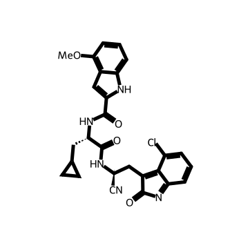 COc1cccc2[nH]c(C(=O)N[C@@H](CC3CC3)C(=O)N[C@H](C#N)CC3=c4c(Cl)cccc4=NC3=O)cc12